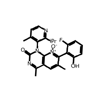 Cc1ccnc(C(C)C)c1-n1c(=O)nc(C)c2cc(C)c(-c3c(O)cccc3F)[n+]([O-])c21